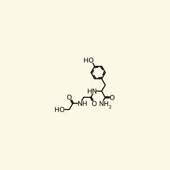 NC(=O)C(Cc1ccc(O)cc1)NC(=O)CNC(=O)CO